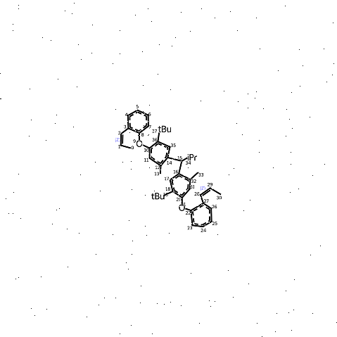 C/C=C\c1ccccc1Oc1cc(C)c(C(c2cc(C(C)(C)C)c(Oc3ccccc3/C=C\C)cc2C)C(C)C)cc1C(C)(C)C